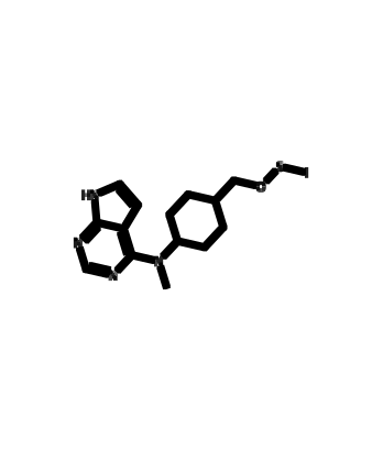 CN(c1ncnc2[nH]ccc12)C1CCC(COSI)CC1